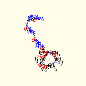 CO[C@H]1CC2CC[C@@H](C)[C@@](O)(O2)C(=O)C(=O)N2CCCC[C@H]2C(=O)O[C@H](CC[C@@H]2CC[C@@H](OC(=S)NCc3cnc(N4CCN(C(=O)CCOCCN5CCN(c6ncc(C(=O)N7CCc8cc(Cn9nc(-c%10ccc%11oc(N)nc%11c%10)c%10c(N)ncnc%109)ccc8C7)cn6)CC5)CC4)nc3)[C@H](OC)C2)C[C@@H](O)[C@H](C)/C=C(\C)[C@@H](O)CC(=O)[C@H](C)C[C@H](C)/C=C/C=C/C=C/1C